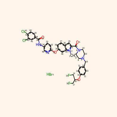 Br.Cn1c(C(=O)N2CCN(Cc3ccc(OC(CF)CF)cc3)CC2)cc2ccc(Oc3ccc(NC(=O)c4ccc(Cl)c(Cl)c4)cn3)cc21